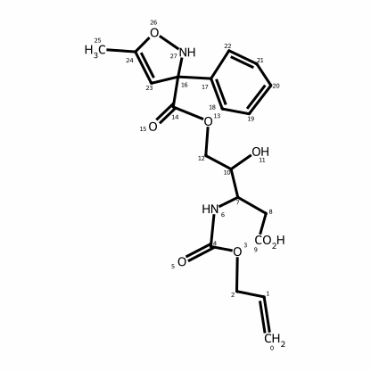 C=CCOC(=O)NC(CC(=O)O)C(O)COC(=O)C1(c2ccccc2)C=C(C)ON1